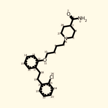 NC(=O)C1CCN(CCCCOc2ccccc2CCc2ccccc2Cl)CC1